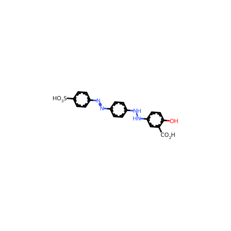 O=C(O)c1cc(NNc2ccc(N=Nc3ccc(S(=O)(=O)O)cc3)cc2)ccc1O